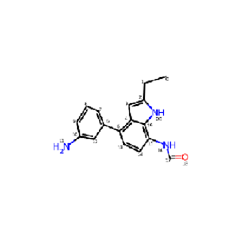 CCc1cc2c(-c3cccc(N)c3)ccc(NC=O)c2[nH]1